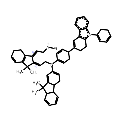 CCNC/C=C1/C2=C(C=CCC2)C(C)(C)/C1=C/CN(C1=CCC(C2=Cc3c(n(C4=CC=CCC4)c4ccccc34)CC2)C=C1)C1=CCC2C(=C1)C(C)(C)C1C=CC=CC21